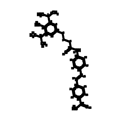 CC(C)c1cc(CCCC(=O)Nc2ccc(N=Nc3ccc(C(=O)O)cc3)cc2)cc(C(C)C)c1O